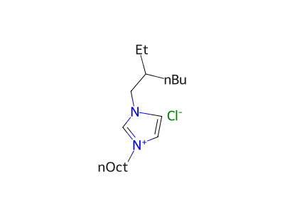 CCCCCCCC[n+]1ccn(CC(CC)CCCC)c1.[Cl-]